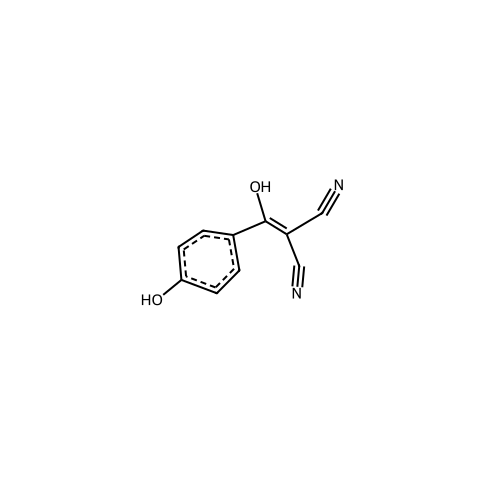 N#CC(C#N)=C(O)c1ccc(O)cc1